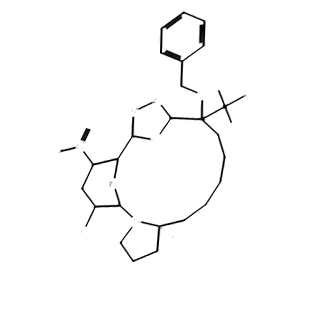 O=[N+]([O-])C1CC(Br)C2NC1C1NNC(O1)C(OCc1ccccc1)(C(F)(F)F)CCCCC[C@H]1CCCN21